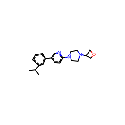 CC(C)c1cccc(-c2ccc(N3CCN(C4COC4)CC3)nc2)c1